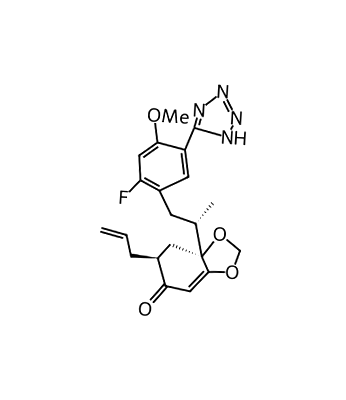 C=CC[C@H]1C[C@]2([C@@H](C)Cc3cc(-c4nnn[nH]4)c(OC)cc3F)OCOC2=CC1=O